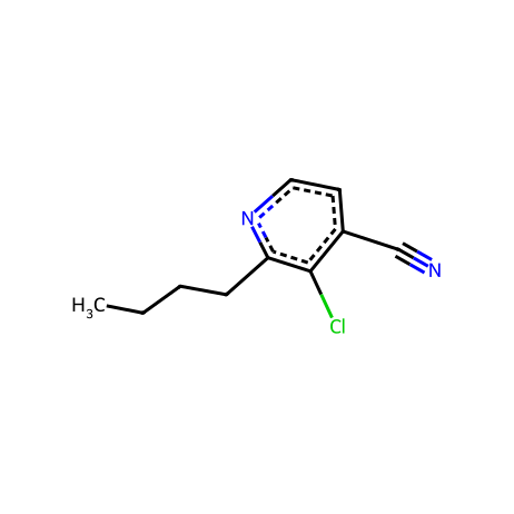 CCCCc1nccc(C#N)c1Cl